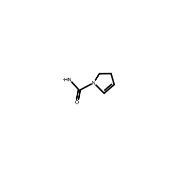 [NH]C(=O)N1C=CCC1